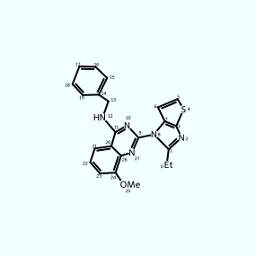 CCc1nc2sccc2n1-c1nc(NCc2ccccc2)c2cccc(OC)c2n1